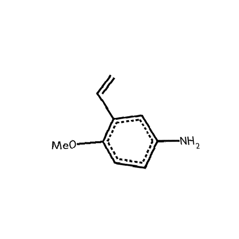 C=Cc1cc(N)ccc1OC